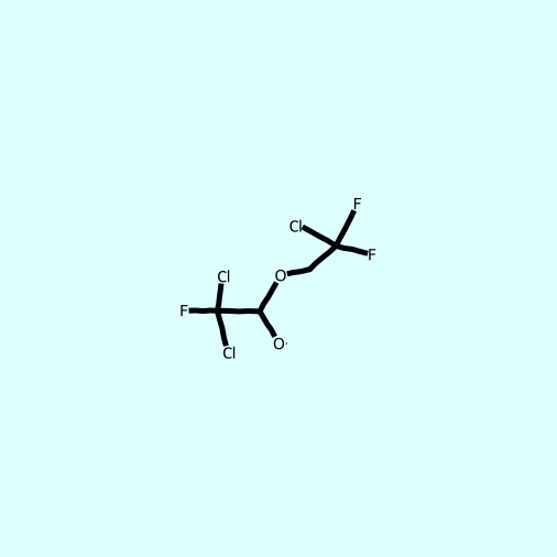 [O]C(OCC(F)(F)Cl)C(F)(Cl)Cl